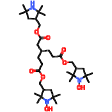 CC1(C)CC(COC(=O)CC(CCC(=O)OCC2CC(C)(C)N(O)C2(C)C)CCC(=O)OCC2CC(C)(C)N(O)C2(C)C)C(C)(C)N1